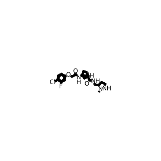 CN1NCCC1CNC(=O)[C@@H]1CC2(NC(=O)COc3ccc(Cl)c(F)c3)CC1C2